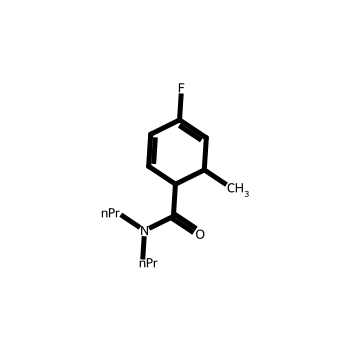 CCCN(CCC)C(=O)C1C=CC(F)=CC1C